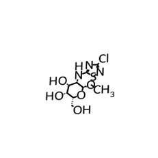 CO[C@H]1O[C@H](CO)[C@H](O)[C@H](O)[C@H]1Nc1nc(Cl)ns1